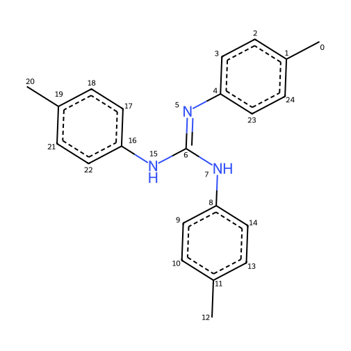 Cc1ccc(N=C(Nc2ccc(C)cc2)Nc2ccc(C)cc2)cc1